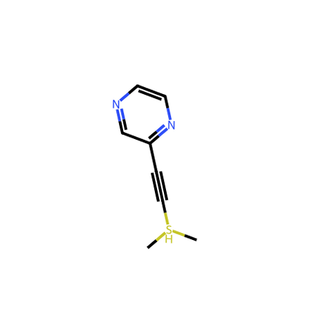 C[SH](C)C#Cc1cnccn1